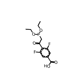 CCOP(CC(=O)c1c(F)cc(C(=O)O)cc1F)OCC